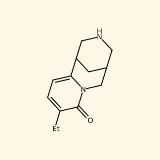 CCc1ccc2n(c1=O)CC1CNCC2C1